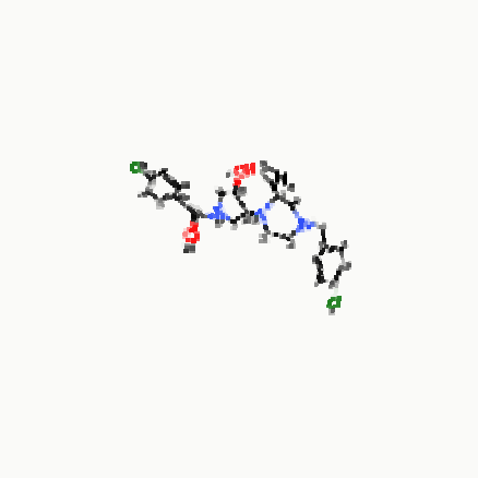 C[C@H]1CN(Cc2ccc(Cl)cc2)CCN1C1CN(C(=O)c2ccc(Cl)cc2)C[C@H]1O